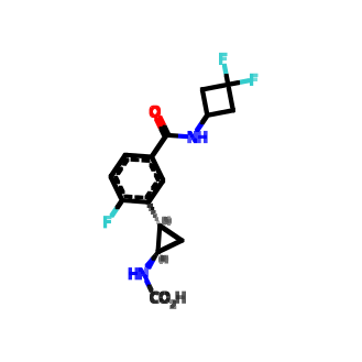 O=C(O)N[C@@H]1C[C@H]1c1cc(C(=O)NC2CC(F)(F)C2)ccc1F